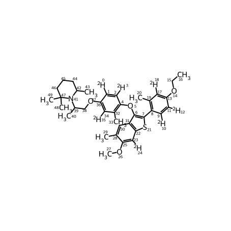 [2H]c1c([2H])c(Oc2c(-c3c([2H])c([2H])c(OCC)c([2H])c3C)sc3c([2H])c(OC)c(C)cc23)c(C)c([2H])c1OCC(C)N1C(C)CCCC1(C)C